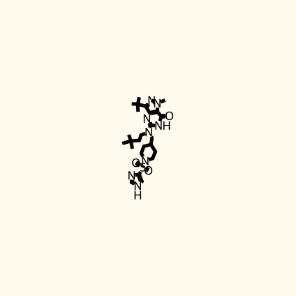 Cn1nc(C(C)(C)C)c2nc(N(CCC(C)(C)C)CC3CCN(S(=O)(=O)c4c[nH]cn4)CC3)[nH]c(=O)c21